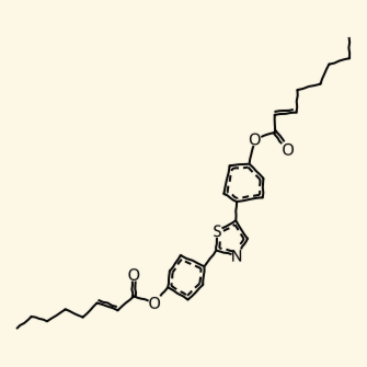 CCCCCC=CC(=O)Oc1ccc(-c2cnc(-c3ccc(OC(=O)C=CCCCCC)cc3)s2)cc1